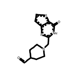 O=CC1CCN(Cc2nc3ccsc3c(=O)[nH]2)CC1